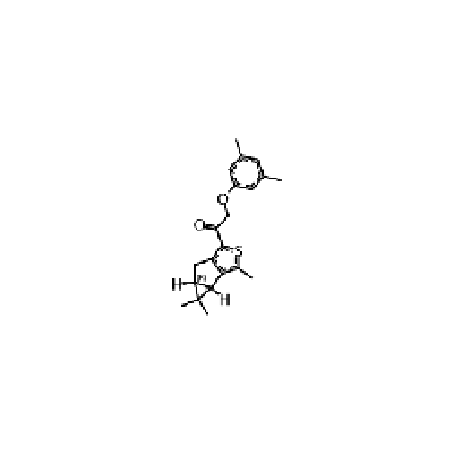 Cc1cc(C)cc(OCC(=O)c2sc(C)c3c2C[C@@H]2[C@H]3C2(C)C)c1